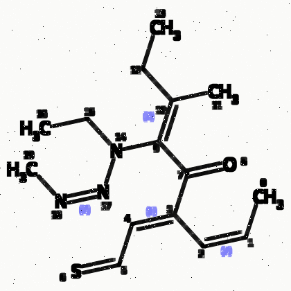 C/C=C\C(=C/C=S)C(=O)/C(=C(\C)CC)N(CC)/N=N\C